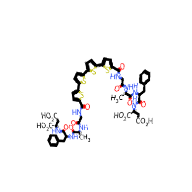 C[C@H](NC(=O)CNC(=O)c1ccc(-c2ccc(-c3ccc(-c4ccc(C(=O)NCC(=O)N[C@@H](C)C(=O)NC(Cc5ccccc5)C(=O)N[C@@H](CC(=O)O)C(=O)O)s4)s3)s2)s1)C(=O)NC(Cc1ccccc1)C(=O)N[C@@H](CC(=O)O)C(=O)O